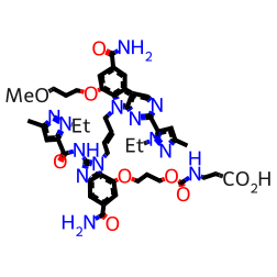 CCn1nc(C)cc1C(=O)Nc1nc2cc(C(N)=O)cc(OCCCOC(=O)NCCC(=O)O)c2n1C/C=C/Cn1c2nc(-c3cc(C)nn3CC)ncc2c2cc(C(N)=O)cc(OCCCOC)c21